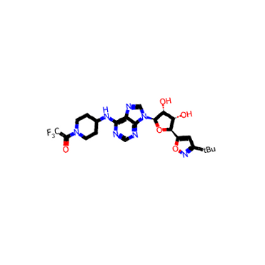 CC(C)(C)c1cc([C@H]2O[C@@H](n3cnc4c(NC5CCN(C(=O)C(F)(F)F)CC5)ncnc43)[C@H](O)[C@@H]2O)on1